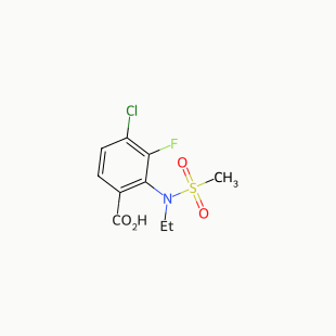 CCN(c1c(C(=O)O)ccc(Cl)c1F)S(C)(=O)=O